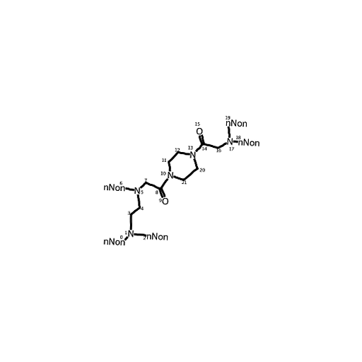 CCCCCCCCCN(CCCCCCCCC)CCN(CCCCCCCCC)CC(=O)N1CCN(C(=O)CN(CCCCCCCCC)CCCCCCCCC)CC1